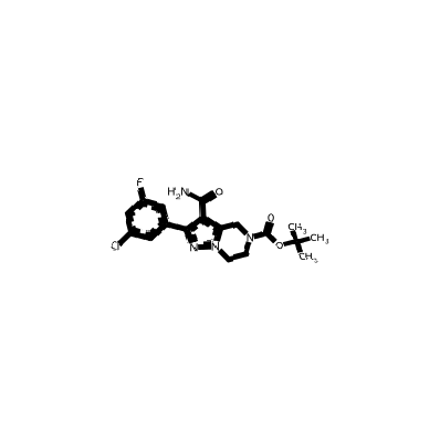 CC(C)(C)OC(=O)N1CCn2nc(-c3cc(F)cc(Cl)c3)c(C(N)=O)c2C1